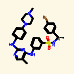 Cc1cnc(Nc2ccc(N3CCN(C)CC3)cc2)nc1Nc1cccc(S(=O)(=O)N[C@@H](C)c2ccc(Br)cc2)c1